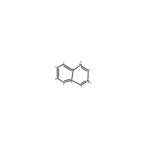 [c]1ccc2n[c]ncc2c1